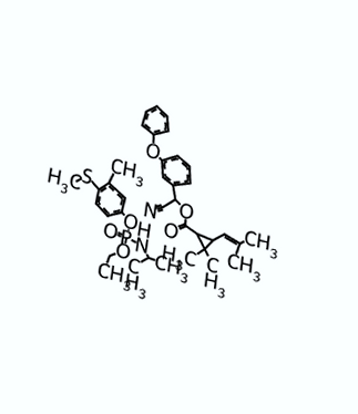 CC(C)=CC1C(C(=O)OC(C#N)c2cccc(Oc3ccccc3)c2)C1(C)C.CCOP(=O)(NC(C)C)Oc1ccc(SC)c(C)c1